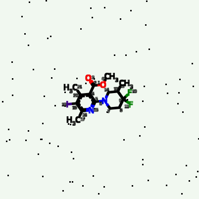 COC(=O)c1c(N2CCC(F)(F)C(C)C2)nc(C)c(I)c1C